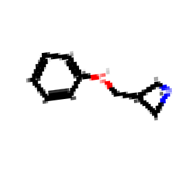 c1ccc(OCC2CNC2)cc1